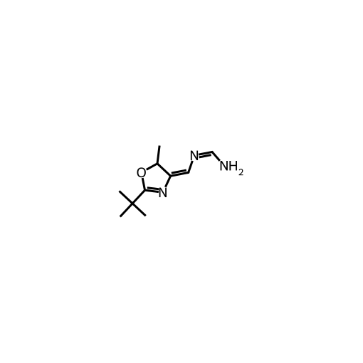 CC1OC(C(C)(C)C)=N/C1=C/N=C\N